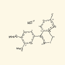 COc1ccc(C2=NCCc3cc(C)ccc32)cc1OC.Cl